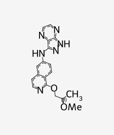 CO[C@H](C)COc1nccc2cc(Nc3n[nH]c4nccnc34)ccc12